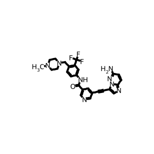 CN1CCN(Cc2ccc(NC(=O)c3cncc(C#Cc4cnc5ccc(N)nn45)c3)cc2C(F)(F)F)CC1